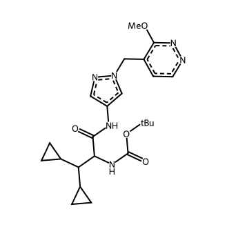 COc1nnccc1Cn1cc(NC(=O)C(NC(=O)OC(C)(C)C)C(C2CC2)C2CC2)cn1